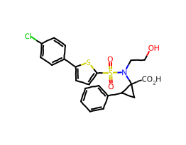 O=C(O)C1(N(CCO)S(=O)(=O)c2ccc(-c3ccc(Cl)cc3)s2)CC1c1ccccc1